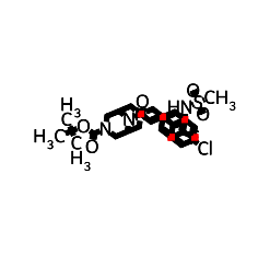 CC(C)(C)OC(=O)N1CC2CN(Cc3ccc(F)cc3)CC(C1)N2C(=O)C=Cc1ccc(Cl)cc1NS(C)(=O)=O